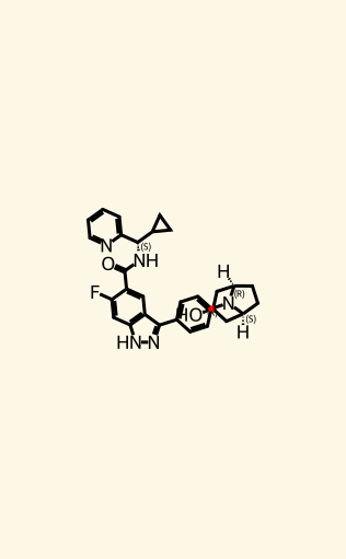 O=C(N[C@H](c1ccccn1)C1CC1)c1cc2c(-c3ccc(N4[C@@H]5CC[C@H]4C[C@@H](O)C5)cc3)n[nH]c2cc1F